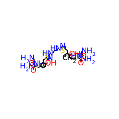 C=C/C(Cc1cnc(NCCCNc2ncc(Cc3cc(C[C@H](NC(=O)CN)C(N)=O)ccc3O)s2)s1)=C(O)\C=C/CC[C@H](NC(=O)CN)C(N)=O